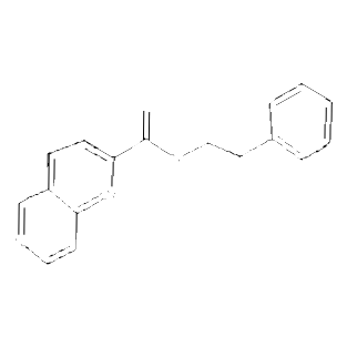 O=C(NCCc1ccccc1)c1ccc2cnccc2n1